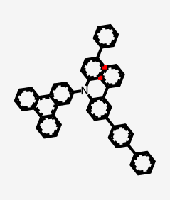 c1ccc(-c2ccc(-c3ccc(N(c4ccc(-c5ccccc5)cc4)c4ccc5c6ccccc6c6ccccc6c5c4)c(-c4ccccc4)c3)cc2)cc1